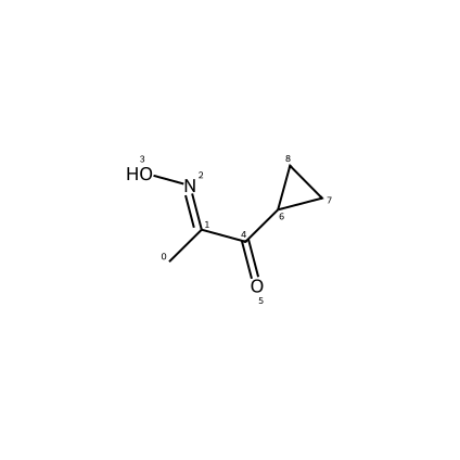 CC(=NO)C(=O)C1CC1